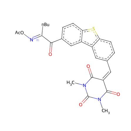 CCCC/C(=N\OC(C)=O)C(=O)c1ccc2sc3ccc(C=C4C(=O)N(C)C(=O)N(C)C4=O)cc3c2c1